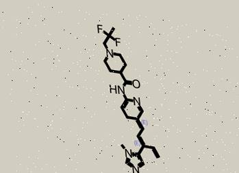 C=C/C(=C\C=C1\C=NC(NC(=O)C2CCN(CC(C)(F)F)CC2)=CC1)c1cncn1C